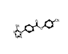 N#Cc1ccc(OC(=O)c2ccc(-n3nnnc3S)cc2)cc1